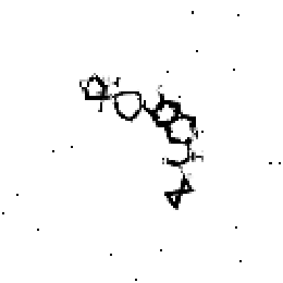 C[C@@]1(N2CCN(c3cc4cc(NC(=O)[C@@H]5CC56CC6)ncc4cc3Cl)CC2)COC[C@@H]1F